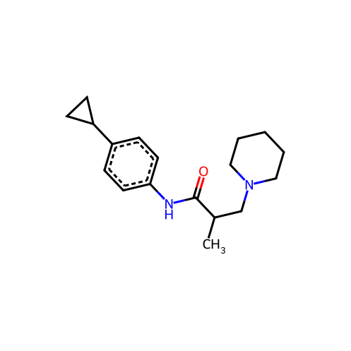 CC(CN1CCCCC1)C(=O)Nc1ccc(C2CC2)cc1